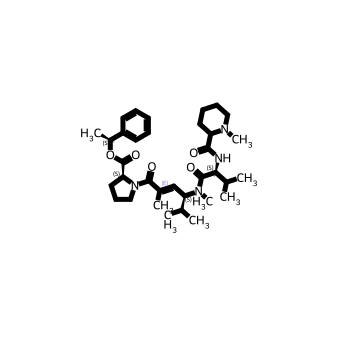 C/C(=C\[C@H](C(C)C)N(C)C(=O)[C@@H](NC(=O)C1CCCCN1C)C(C)C)C(=O)N1CCC[C@H]1C(=O)O[C@@H](C)c1ccccc1